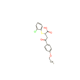 CCOc1ccc(C(=O)CC(Sc2ccccc2Cl)C(=O)O)cc1